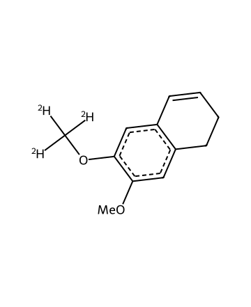 [2H]C([2H])([2H])Oc1cc2c(cc1OC)CCC=C2